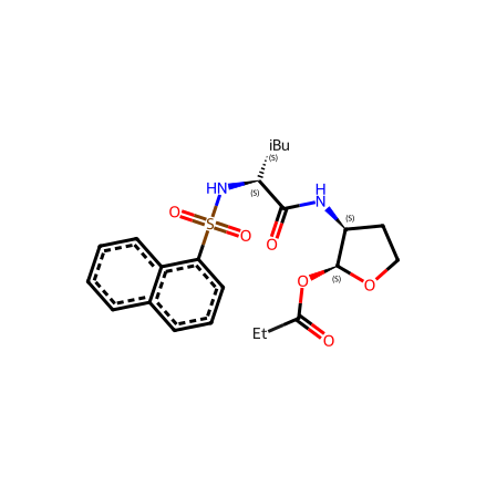 CCC(=O)O[C@@H]1OCC[C@@H]1NC(=O)[C@@H](NS(=O)(=O)c1cccc2ccccc12)[C@@H](C)CC